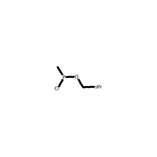 CCCCOP(C)Cl